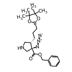 CC1(C)OB(CCC[C@H]2CNC[C@@]2(N=[N+]=[N-])C(=O)OCc2ccccc2)OC1(C)C